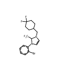 FC1(F)CCC(CN2C=CN(c3ccccc3Br)C2C(F)(F)F)CC1